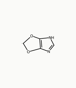 [CH]1Oc2nc[nH]c2O1